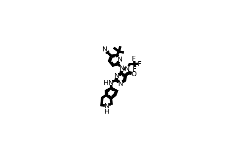 CC(C)(C)c1nc(-n2c3nc(Nc4ccc5c(c4)CCNC5)ncc3c(=O)n2CC(F)(F)F)ccc1C#N